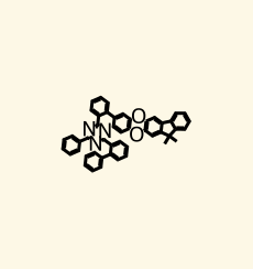 CC1(C)c2ccccc2-c2cc3c(cc21)Oc1ccc(-c2ccccc2-c2nc(-c4ccccc4)nc(-c4ccccc4-c4ccccc4)n2)cc1O3